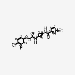 CCn1ccc(C(=O)NC23CC(NC(=O)COc4ccc(Cl)c(F)c4)(C2)C3)n1